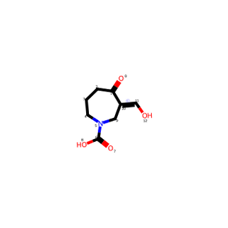 O=C1CCCN(C(=O)O)C/C1=C\O